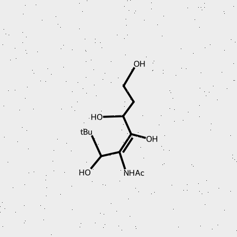 CC(=O)N/C(=C(\O)C(O)CCO)C(O)C(C)(C)C